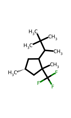 CC(C1C[C@@H](C)CC1(C)C(F)(F)F)C(C)(C)C